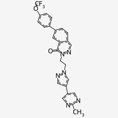 Cc1ncc(-c2cnn(CCn3ncc4ccc(-c5ccc(OC(F)(F)F)cc5)cc4c3=O)c2)cn1